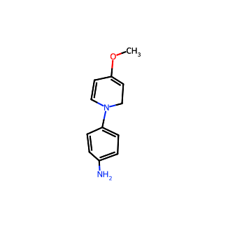 COC1=CCN(c2ccc(N)cc2)C=C1